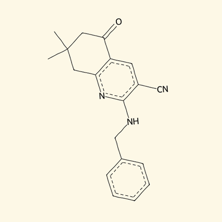 CC1(C)CC(=O)c2cc(C#N)c(NCc3ccccc3)nc2C1